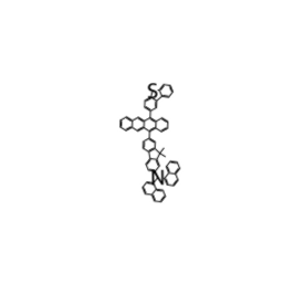 CC1(C)c2cc(-c3c4ccccc4c(-c4ccc5sc6ccccc6c5c4)c4cc5ccccc5cc34)ccc2-c2ccc(N(c3cccc4ccccc34)c3cccc4ccccc34)cc21